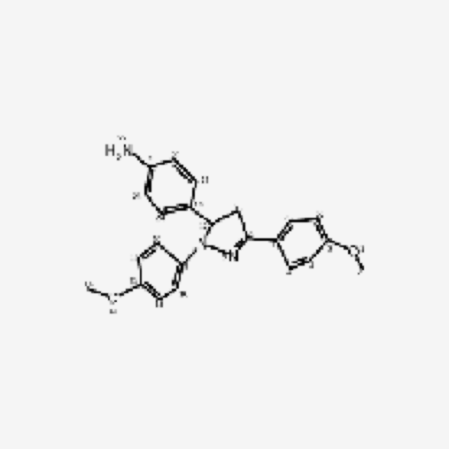 COc1ccc(C2=NN(c3ccc(OC)cc3)C(c3ccc(N)cc3)C2)cc1